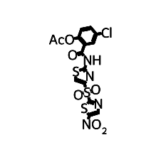 CC(=O)Oc1ccc(Cl)cc1C(=O)Nc1nc(S(=O)(=O)c2ncc([N+](=O)[O-])s2)cs1